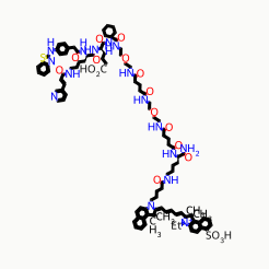 CC[N+]1=C(/C=C/C=C/C=C2/N(CCCCC(=O)NCCCC[C@@H](NC(=O)CCCC(=O)NCCOCCNC(=O)CCCC(=O)NCCOCCNC(=O)C3(NC(=O)[C@@H](CCCC(=O)O)NC(=O)[C@@H](CCCCNC(=O)/C=C/c4cccnc4)NC(=O)Cc4ccc(Nc5nc6ccccc6s5)cc4)CCCCC3)C(N)=O)c3ccc4ccccc4c3C2(C)C)C(C)(C)c2c1ccc1c(S(=O)(=O)O)cccc21